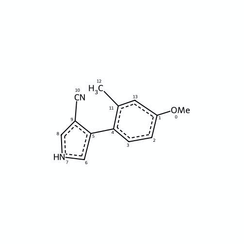 COc1ccc(-c2c[nH]cc2C#N)c(C)c1